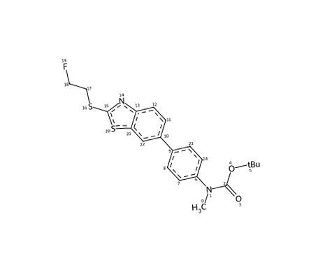 CN(C(=O)OC(C)(C)C)c1ccc(-c2ccc3nc(SCCF)sc3c2)cc1